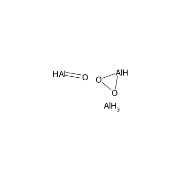 [AlH3].[O]1[O][AlH]1.[O]=[AlH]